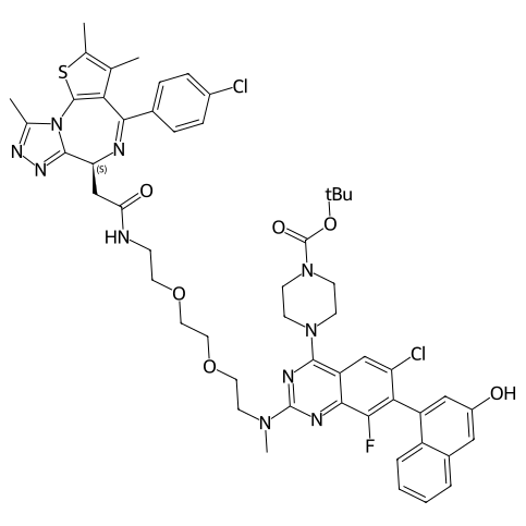 Cc1sc2c(c1C)C(c1ccc(Cl)cc1)=N[C@@H](CC(=O)NCCOCCOCCN(C)c1nc(N3CCN(C(=O)OC(C)(C)C)CC3)c3cc(Cl)c(-c4cc(O)cc5ccccc45)c(F)c3n1)c1nnc(C)n1-2